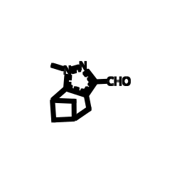 Cn1nc(C=O)c2c1C1CC(C2)C1